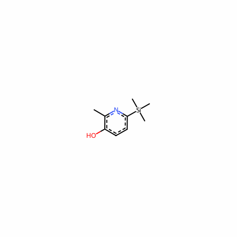 Cc1nc([Si](C)(C)C)ccc1O